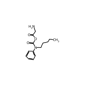 CCCCCN(C(=O)OC(=O)CN)c1ccccc1